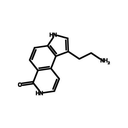 NCCc1c[nH]c2ccc3c(=O)[nH]ccc3c12